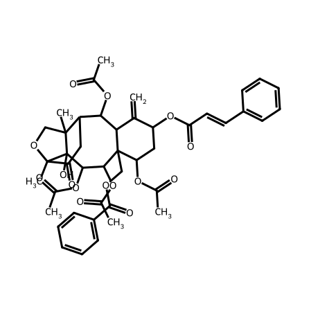 C=C1C(OC(=O)C=Cc2ccccc2)CC(OC(C)=O)C2(COC(=O)c3ccccc3)C(OC(C)=O)C(OC(C)=O)C3(O)C4(C)OCC3(C)C(CC4=O)C(OC(C)=O)C12